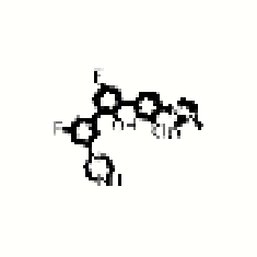 Cn1ccn(-c2ccc(-c3cc(F)cc(-c4cc(F)cc(N5CCNCC5)c4)c3O)cc2Cl)c1=O